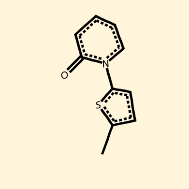 Cc1ccc(-n2ccccc2=O)s1